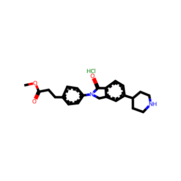 COC(=O)CCc1ccc(N2Cc3cc(C4CCNCC4)ccc3C2=O)cc1.Cl